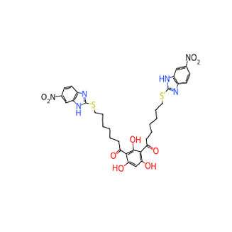 O=C(CCCCCCSc1nc2ccc([N+](=O)[O-])cc2[nH]1)c1c(O)cc(O)c(C(=O)CCCCCCSc2nc3ccc([N+](=O)[O-])cc3[nH]2)c1O